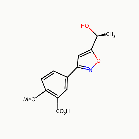 COc1ccc(-c2cc([C@H](C)O)on2)cc1C(=O)O